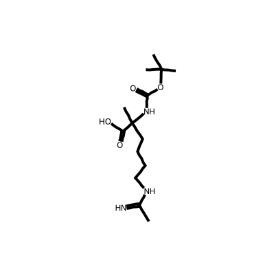 CC(=N)NCCCCC(C)(NC(=O)OC(C)(C)C)C(=O)O